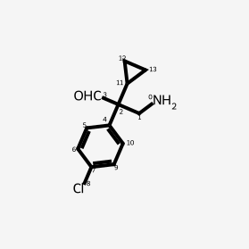 NCC(C=O)(c1ccc(Cl)cc1)C1CC1